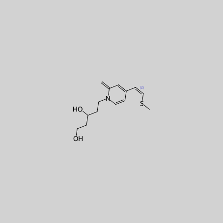 C=C1C=C(/C=C\SC)C=CN1CCC(O)CCO